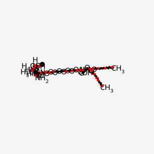 CCCCCCCCCCCCCCOCC(CNC(=O)CC[C@H](NC(=O)CCOCCOCCOCCOCCOCCOCCOCCOCCNC(=O)/C=C/C(=O)N(CC(N)=O)NC(=O)[C@H](C)NC(=O)[C@H](C)NC(=O)OCc1ccccc1)C(=O)O)OCCCCCCCCCCCCCC